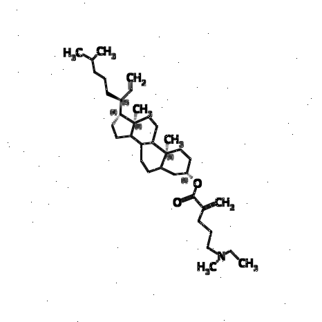 C=C[C@H](CCCC(C)C)[C@H]1CCC2C3CCC4C[C@@H](OC(=O)C(=C)CCCN(C)CC)CC[C@]4(C)C3CC[C@@]21C